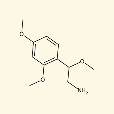 COc1ccc(C(CN)OC)c(OC)c1